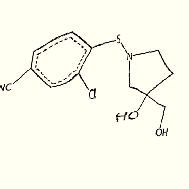 N#Cc1ccc(SN2CCC(O)(CO)C2)c(Cl)c1